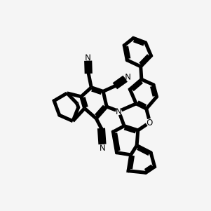 N#Cc1c(C#N)c(N2c3cc(-c4ccccc4)ccc3Oc3c2ccc2ccccc32)c(C#N)c2c1C1CCC2CC1